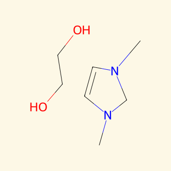 CN1C=CN(C)C1.OCCO